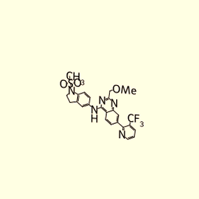 COCc1nc(Nc2ccc3c(c2)CCN3S(C)(=O)=O)c2ccc(-c3ncccc3C(F)(F)F)cc2n1